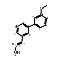 COc1cccc(-c2cncc(/C=N/O)c2)c1